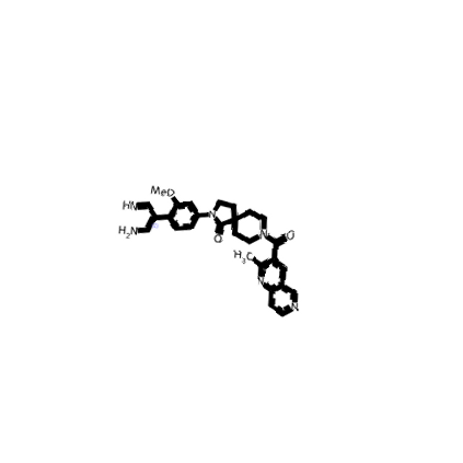 COc1cc(N2CCC3(CCN(C(=O)c4cc5cnccc5nc4C)CC3)C2=O)ccc1/C(C=N)=C/N